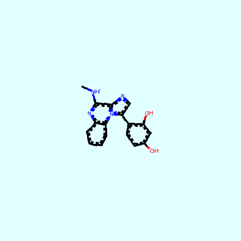 CNc1nc2ccccc2n2c(-c3ccc(O)cc3O)cnc12